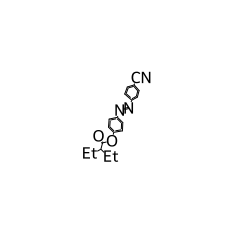 CCC(CC)C(=O)Oc1ccc(/N=N/c2ccc(C#N)cc2)cc1